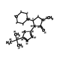 CN1CC(N2CCOCC2)N(c2nnc(C(C)(C)C)s2)C1=O